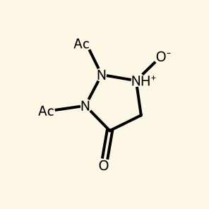 CC(=O)N1C(=O)C[NH+]([O-])N1C(C)=O